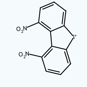 O=[N+]([O-])c1cccc2c1-c1c(cccc1[N+](=O)[O-])[I+]2